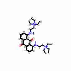 CC[N+](CC)(CC)CCNc1cccc2c1C(=O)c1c(NCC[N+](CC)(CC)CC)cccc1C2=O